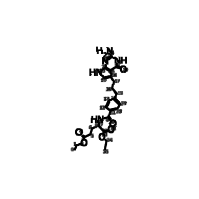 CCOC(=O)CC[C@@H](NC(=O)c1ccc(CCCc2c[nH]c3nc(N)[nH]c(=O)c23)cc1)C(=O)OCC